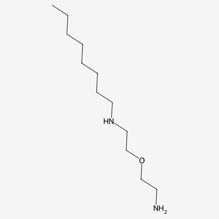 CCCCCCCCNCCOCCN